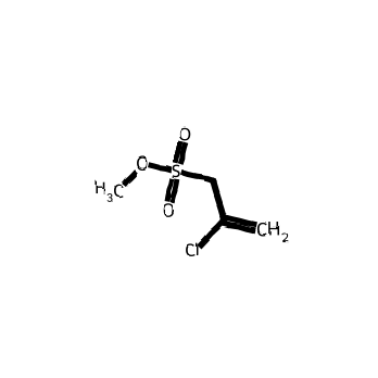 C=C(Cl)CS(=O)(=O)OC